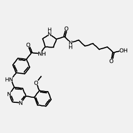 COc1ccccc1-c1cc(Nc2ccc(C(=O)NC3CNC(C(=O)NCCCCCC(=O)O)C3)cc2)ncn1